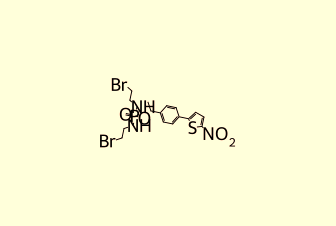 CC(OP(=O)(NCCBr)NCCBr)c1ccc(-c2ccc([N+](=O)[O-])s2)cc1